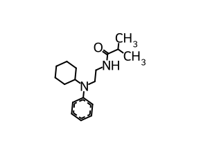 CC(C)C(=O)NCCN(c1ccccc1)C1CCCCC1